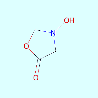 O=C1CN(O)CO1